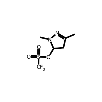 CC1=NN(C)C(OS(=O)(=O)C(F)(F)F)C1